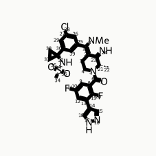 CN/C(=C1/CCN(C(=O)c2cc(F)cc(-c3cn[nH]c3)c2F)[C@@H](C)C1=N)c1cc(Cl)cc(C2(NS(C)(=O)=O)CC2)c1